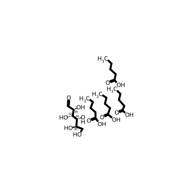 CCCCC(=O)O.CCCCC(=O)O.CCCCC(=O)O.CCCCC(=O)O.O=C[C@H](O)[C@@H](O)[C@H](O)[C@H](O)CO